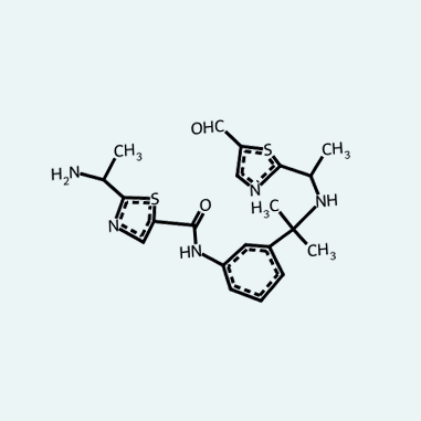 CC(N)c1ncc(C(=O)Nc2cccc(C(C)(C)NC(C)c3ncc(C=O)s3)c2)s1